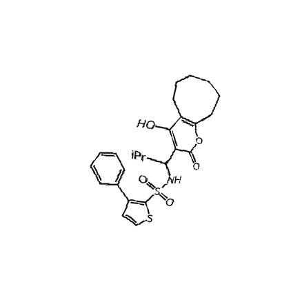 CC(C)C(NS(=O)(=O)c1sccc1-c1ccccc1)c1c(O)c2c(oc1=O)CCCCCC2